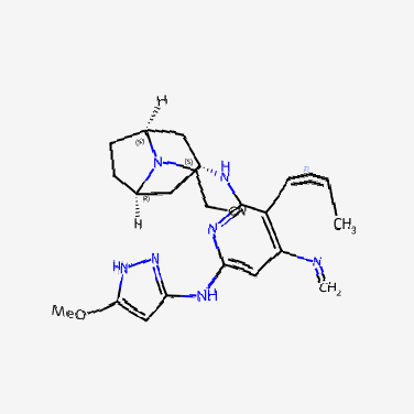 C=Nc1cc(Nc2cc(OC)[nH]n2)nc(N[C@@H]2C[C@H]3CC[C@@H](C2)N3CCC#N)c1/C=C\C